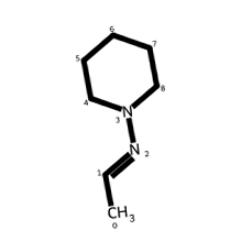 CC=NN1CCCCC1